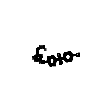 NCc1nnc(Nc2cnc(S(=O)(=O)c3ccc(Cl)cc3)cn2)s1